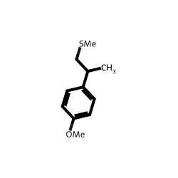 COc1ccc(C(C)CSC)cc1